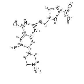 CN1CCN(c2cc3nc(C=Cc4ccc([N+](=O)[O-])o4)nc(Cl)c3cc2F)CC1